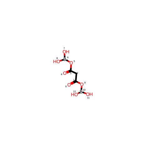 O=C(CC(=O)OB(O)O)OB(O)O